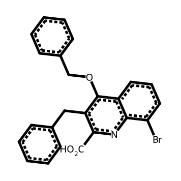 O=C(O)c1nc2c(Br)cccc2c(OCc2ccccc2)c1Cc1ccccc1